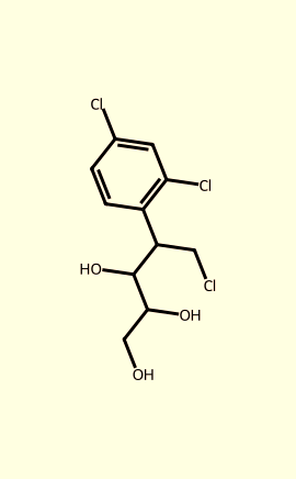 OCC(O)C(O)C(CCl)c1ccc(Cl)cc1Cl